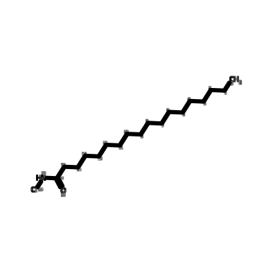 CCCCCCCCCCCCCCCCCC(=O)NCl